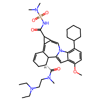 CCN(CC)CCN(C)C(=O)[C@@H]1CC=CC2=C3C(=Cn4c(cc5c(OC)ccc(C6CCCCC6)c54)C21)C3C(=O)NS(=O)(=O)N(C)C